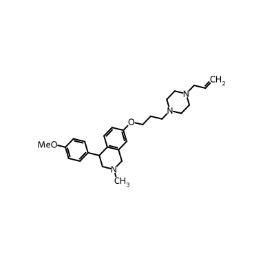 C=CCN1CCN(CCCOc2ccc3c(c2)CN(C)CC3c2ccc(OC)cc2)CC1